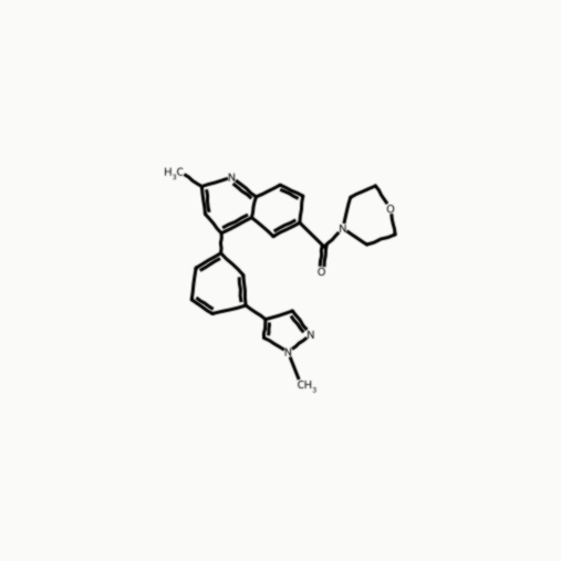 Cc1cc(-c2cccc(-c3cnn(C)c3)c2)c2cc(C(=O)N3CCOCC3)ccc2n1